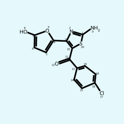 Nc1nc(-c2ccc(O)o2)c(C(=O)c2ccc(Cl)cc2)s1